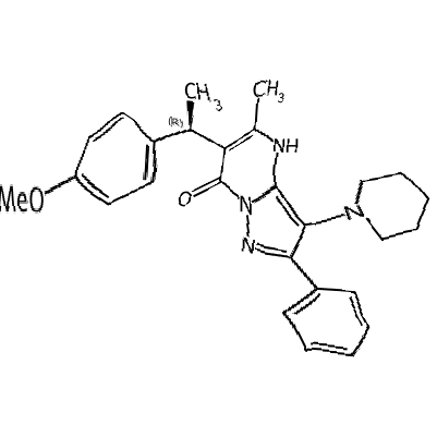 COc1ccc([C@@H](C)c2c(C)[nH]c3c(N4CCCCC4)c(-c4ccccc4)nn3c2=O)cc1